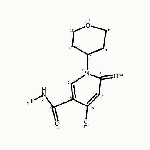 O=C(NF)c1cn(C2CCOCC2)c(=O)cc1Cl